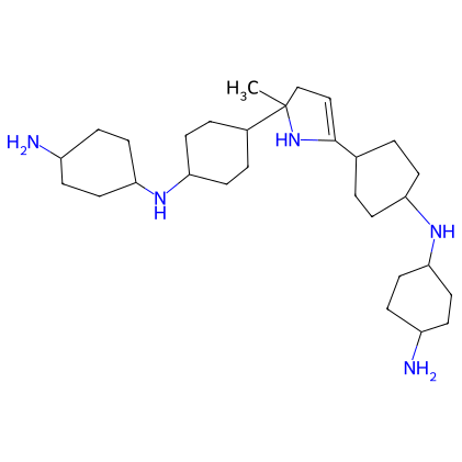 CC1(C2CCC(NC3CCC(N)CC3)CC2)CC=C(C2CCC(NC3CCC(N)CC3)CC2)N1